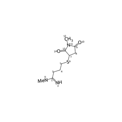 CNC(=N)CCCSC1CC(=O)N(C)C1=O